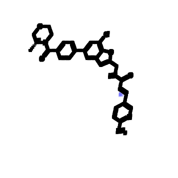 C[C@@H]1COCCN1C(=O)c1ccc(-c2cc(Cl)c3oc(CNC(=O)/C=C/c4ccc(N)nc4)cc3c2)cc1